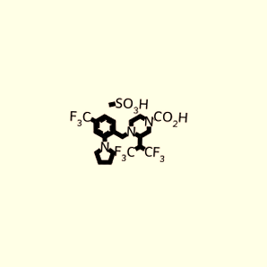 CS(=O)(=O)O.O=C(O)N1CCN(Cc2ccc(C(F)(F)F)cc2N2CCCC2)C(C(C(F)(F)F)C(F)(F)F)C1